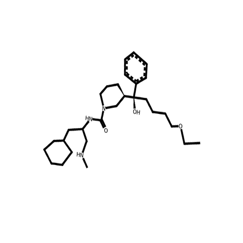 CCOCCCC[C@@](O)(c1ccccc1)[C@@H]1CCCN(C(=O)NC(CNC)CC2CCCCC2)C1